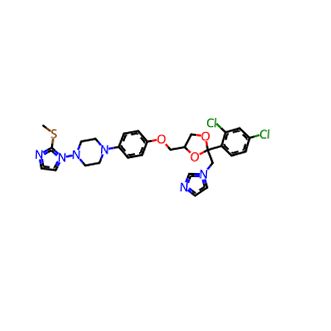 CSc1nccn1N1CCN(c2ccc(OCC3COC(Cn4ccnc4)(c4ccc(Cl)cc4Cl)O3)cc2)CC1